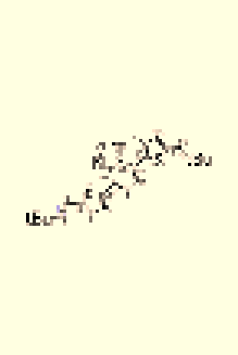 CC(C)(C)/C=C/c1ccc(-c2ccc(-c3ccc(CC(C)(C)C)s3)c3c2=NCN=3)s1